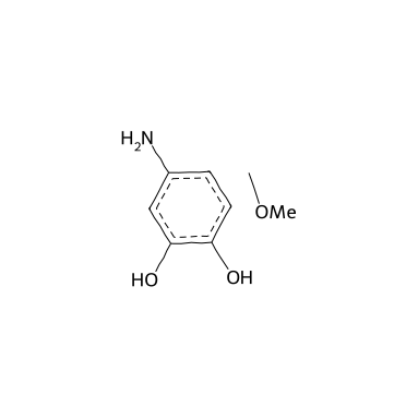 COC.Nc1ccc(O)c(O)c1